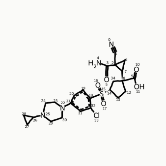 N#CC1(C(N)=O)CC1[C@@]1(C(=O)O)CC[C@H](S(=O)(=O)c2ccc(N3CCN(C4CC4)CC3)cc2Cl)C1